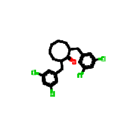 O=C1C(Cc2cc(Cl)cc(Cl)c2)CCCCCC1Cc1cc(Cl)cc(Cl)c1